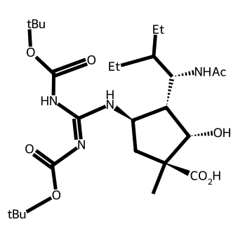 CCC(CC)[C@H](NC(C)=O)[C@H]1[C@H](NC(=NC(=O)OC(C)(C)C)NC(=O)OC(C)(C)C)C[C@](C)(C(=O)O)[C@H]1O